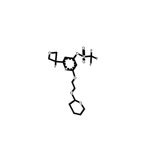 O=S(=O)(Oc1cc(OCCOC2CCCCO2)nc(C2(F)COC2)c1)C(F)(F)F